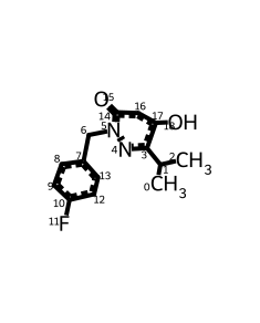 CC(C)c1nn(Cc2ccc(F)cc2)c(=O)cc1O